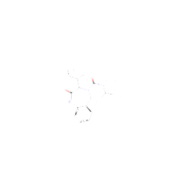 CCC(C)C1C(=O)Nc2ccccc2CN1C(=O)N(C)C(C)C